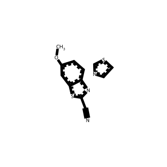 COc1ccc2nc(C#N)sc2c1.c1cscn1